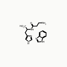 NCCC(=O)NC(Cc1c[nH]cn1)C(=O)O.c1ccc2[nH]cnc2c1